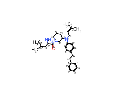 CC(C)=CCN(c1ccc(CCc2ccccc2)cc1)C1CCCN(C(=O)C(N)CC(C)C)C1